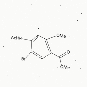 COC(=O)c1cc(Br)c(NC(C)=O)cc1OC